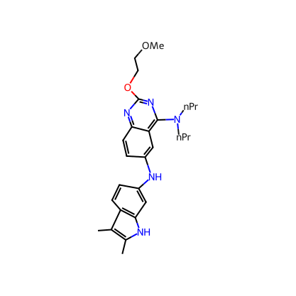 CCCN(CCC)c1nc(OCCOC)nc2ccc(Nc3ccc4c(C)c(C)[nH]c4c3)cc12